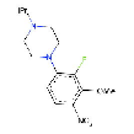 COc1c([N+](=O)[O-])ccc(N2CCN(C(C)C)CC2)c1F